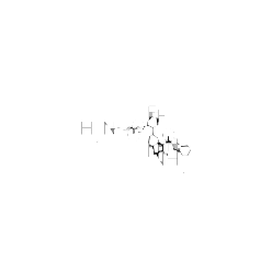 NCCCCC(=O)OCc1cc(F)c(F)cc1-c1ccc2nc(N)nc(C(=O)N3Cc4ccccc4C3)c2c1